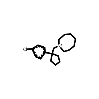 Clc1ccc(C2(C[N+]3CCCCCCC3)CCCC2)cc1